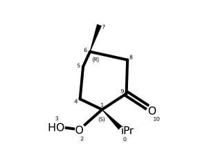 CC(C)[C@@]1(OO)CC[C@@H](C)CC1=O